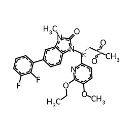 CCOc1nc([C@@H](CS(C)(=O)=O)n2c(=O)n(C)c3cc(-c4cccc(F)c4F)ccc32)ccc1OC